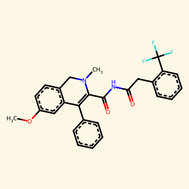 COc1ccc2c(c1)C(c1ccccc1)=C(C(=O)NC(=O)Cc1ccccc1C(F)(F)F)N(C)C2